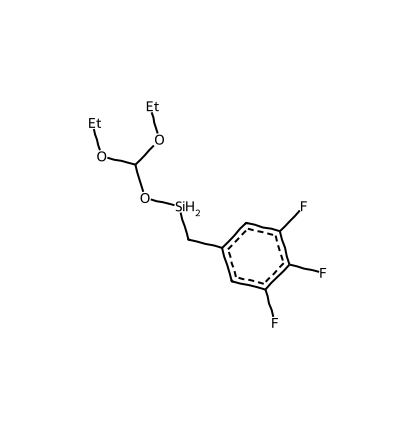 CCOC(OCC)O[SiH2]Cc1cc(F)c(F)c(F)c1